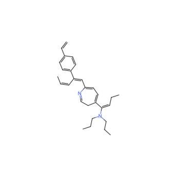 C=Cc1ccc(C(/C=C\C)=C/C2=CC=C(/C(=C\CC)N(CCC)CCC)CC=N2)cc1